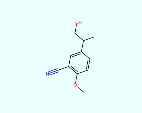 [CH2]C(CO)c1ccc(OC)c(C#N)c1